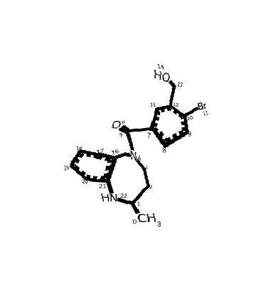 CC1CCN(C(=O)c2ccc(Br)c(CO)c2)c2ccccc2N1